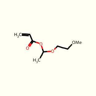 C=CC(=O)OC(C)OCCOC